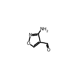 Nc1nocc1C=O